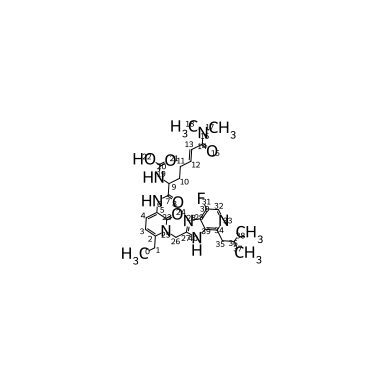 CCc1ccc(NC(=O)C(CC/C=C/C(=O)N(C)C)NC(=O)O)c(=O)n1Cc1nc2c(F)cnc(CC(C)C)c2[nH]1